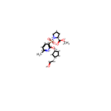 COC(=O)[C@@H]1CCCN1S(=O)(=O)c1ccc(C)nc1O[C@@H]1CC[C@H](CC=O)C1